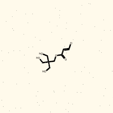 O=C(C=CCl)OCC(CO)(CO)CO